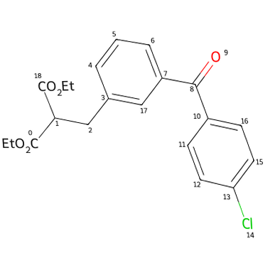 CCOC(=O)C(Cc1cccc(C(=O)c2ccc(Cl)cc2)c1)C(=O)OCC